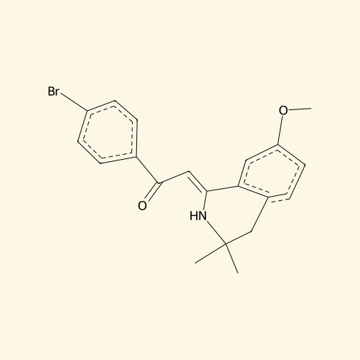 COc1ccc2c(c1)C(=CC(=O)c1ccc(Br)cc1)NC(C)(C)C2